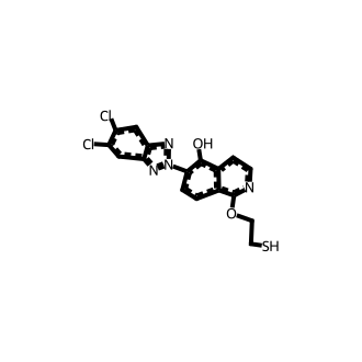 Oc1c(-n2nc3cc(Cl)c(Cl)cc3n2)ccc2c(OCCS)nccc12